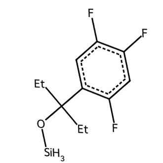 CCC(CC)(O[SiH3])c1cc(F)c(F)cc1F